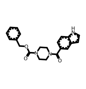 O=C(OCc1ccccc1)N1CCN(C(=O)c2ccc3[nH]ccc3c2)CC1